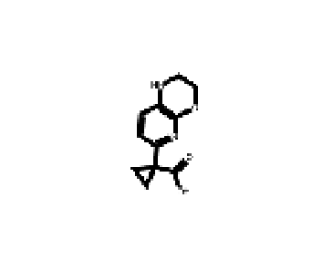 O=C(O)C1(c2ccc3c(n2)OCCN3)CC1